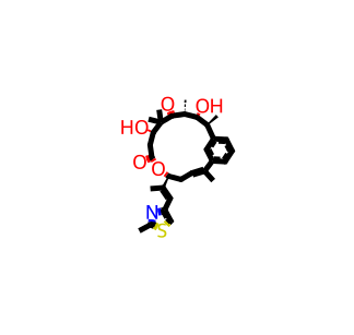 CC(=Cc1csc(C)n1)[C@@H]1C/C=C(\C)c2cccc(c2)[C@H](C)[C@H](O)[C@@H](C)C(=O)C(C)(C)[C@@H](O)CC(=O)O1